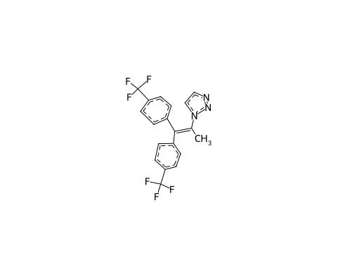 CC(=C(c1ccc(C(F)(F)F)cc1)c1ccc(C(F)(F)F)cc1)n1ccnn1